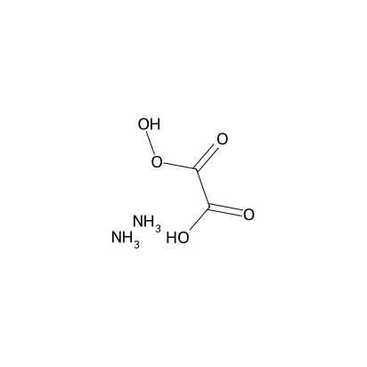 N.N.O=C(O)C(=O)OO